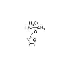 CC(C)(C)OCC1CCCO1